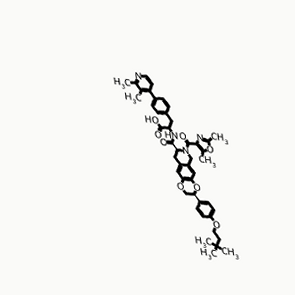 Cc1nc(C(=O)N2Cc3cc4c(cc3C[C@H]2C(=O)NC(Cc2ccc(-c3ccnc(C)c3C)cc2)C(=O)O)OC[C@H](c2ccc(OCCC(C)(C)C)cc2)O4)c(C)o1